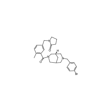 Cc1ccc(CN2CCCC2=O)cc1C(=O)N1CC2C[C@@H](CN(Cc3ccc(Br)cc3)C2)C1